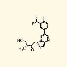 CN(CC#N)C(=O)Cn1ncc2ncc(-c3ccc(F)c(C(F)F)c3)cc21